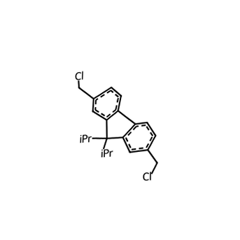 CC(C)C1(C(C)C)c2cc(CCl)ccc2-c2ccc(CCl)cc21